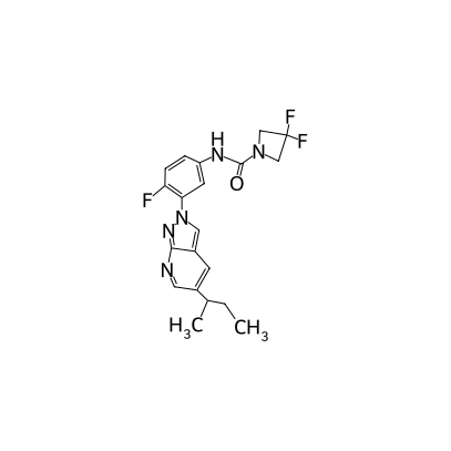 CCC(C)c1cnc2nn(-c3cc(NC(=O)N4CC(F)(F)C4)ccc3F)cc2c1